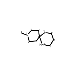 CN1CCC2(CC1)NCCCS2